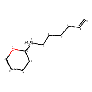 C=CCCCC[SiH2]C1CCCCO1